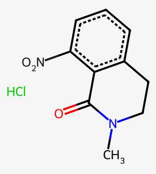 CN1CCc2cccc([N+](=O)[O-])c2C1=O.Cl